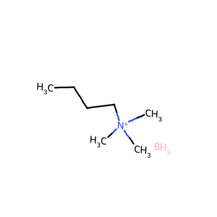 B.CCCC[N+](C)(C)C